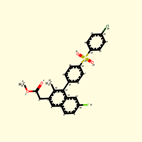 COC(=O)Cc1cc2ccc(F)cc2c(-c2ccc(S(=O)(=O)c3ccc(Cl)cc3)cc2)c1C